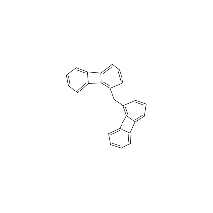 c1ccc2c(c1)-c1cccc(Cc3cccc4c3-c3ccccc3-4)c1-2